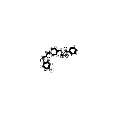 O=S(=O)(c1ccccc1)N(Br)CC1CCN(CC2COc3ccc(Cl)cc3O2)CC1